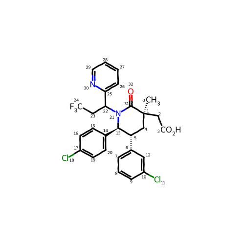 C[C@]1(CC(=O)O)C[C@H](c2cccc(Cl)c2)[C@@H](c2ccc(Cl)cc2)N(C(CC(F)(F)F)c2ccccn2)C1=O